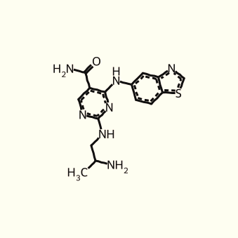 CC(N)CNc1ncc(C(N)=O)c(Nc2ccc3scnc3c2)n1